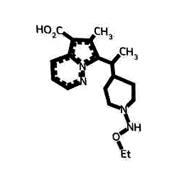 CCONN1CCC(C(C)c2c(C)c(C(=O)O)c3cccnn23)CC1